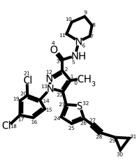 Cc1c(C(=O)NN2CCCCC2)nn(-c2ccc(Cl)cc2Cl)c1-c1ccc(C#CC2CC2)s1